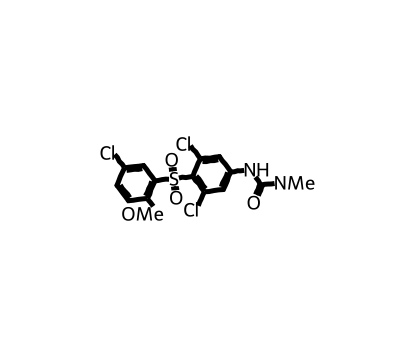 CNC(=O)Nc1cc(Cl)c(S(=O)(=O)c2cc(Cl)ccc2OC)c(Cl)c1